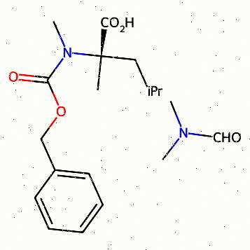 CC(C)C[C@@](C)(C(=O)O)N(C)C(=O)OCc1ccccc1.CN(C)C=O